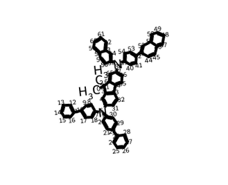 CC1(C)c2cc(N(c3ccc(-c4ccccc4)cc3)c3ccc(-c4ccccc4)cc3)ccc2-c2ccc(N(c3ccc(-c4ccc5ccccc5c4)cc3)c3ccc4ccccc4c3)cc21